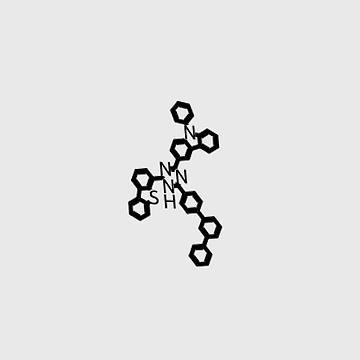 c1ccc(-c2cccc(-c3ccc(C4=NC(c5ccc6c(c5)c5ccccc5n6-c5ccccc5)=NC(c5cccc6c5sc5ccccc56)N4)cc3)c2)cc1